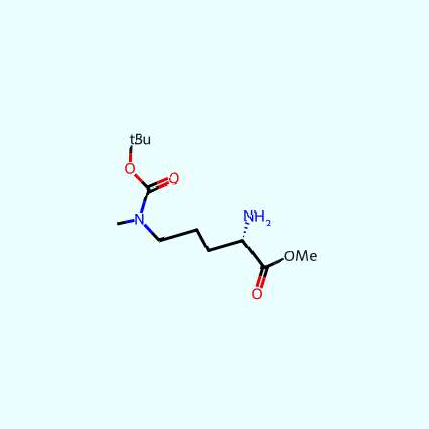 COC(=O)[C@@H](N)CCCN(C)C(=O)OC(C)(C)C